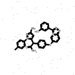 Cc1ccc(-n2nc(C(C)(C)C)cc2C(C(N)=O)c2ccc(Sc3ccc4nnc(-c5cccc(O)c5)n4c3)cc2)cc1